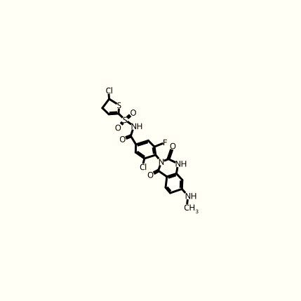 CNc1ccc2c(=O)n(-c3c(F)cc(C(=O)NS(=O)(=O)C4=CCC(Cl)S4)cc3Cl)c(=O)[nH]c2c1